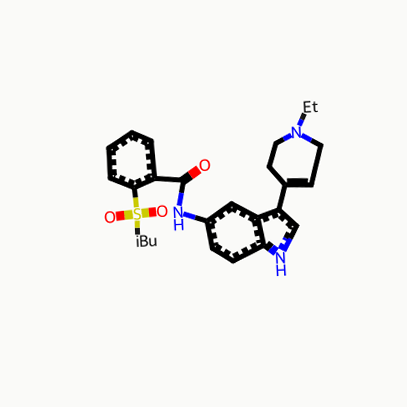 CCC(C)S(=O)(=O)c1ccccc1C(=O)Nc1ccc2[nH]cc(C3=CCN(CC)CC3)c2c1